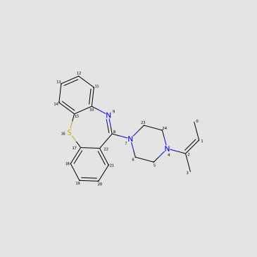 C/C=C(/C)N1CCN(C2=Nc3ccccc3Sc3ccccc32)CC1